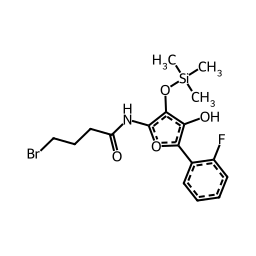 C[Si](C)(C)Oc1c(NC(=O)CCCBr)oc(-c2ccccc2F)c1O